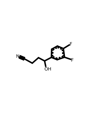 N#CCCC(O)c1ccc(F)c(F)c1